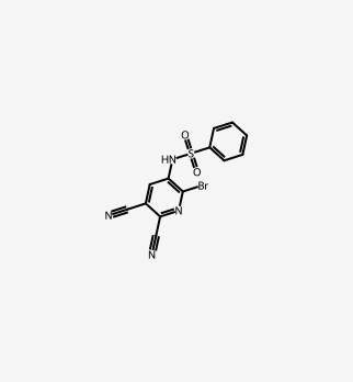 N#Cc1cc(NS(=O)(=O)c2ccccc2)c(Br)nc1C#N